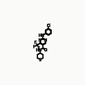 O=C(NC1CCSCC1)c1cnc(Nc2cccc(Cl)c2)nc1C(F)(F)F